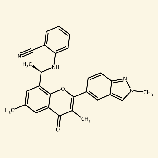 Cc1cc([C@@H](C)Nc2ccccc2C#N)c2oc(-c3ccc4nn(C)cc4c3)c(C)c(=O)c2c1